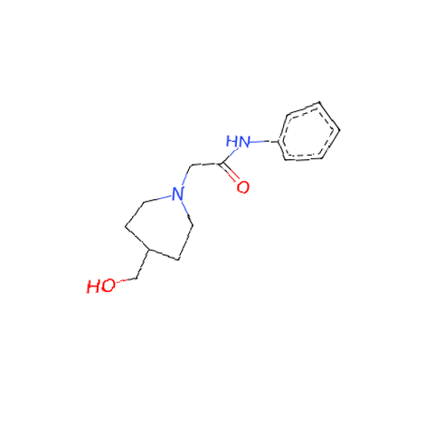 O=C(CN1CCC(CO)CC1)Nc1ccccc1